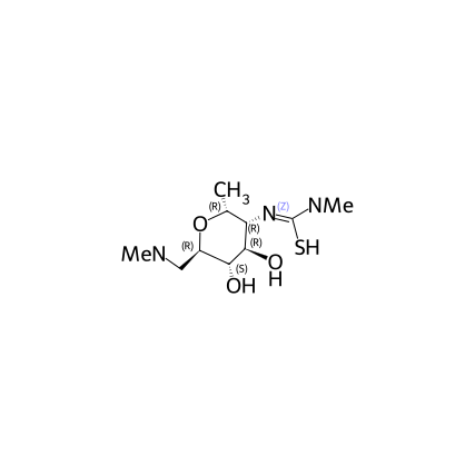 CNC[C@H]1O[C@H](C)[C@H](/N=C(\S)NC)[C@@H](O)[C@@H]1O